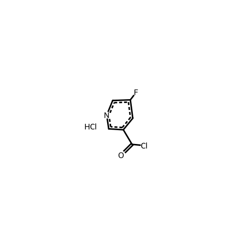 Cl.O=C(Cl)c1cncc(F)c1